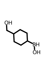 OBC1CCC(CO)CC1